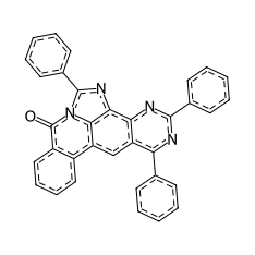 O=c1c2ccccc2c2cc3c(-c4ccccc4)nc(-c4ccccc4)nc3c3nc(-c4ccccc4)n1c23